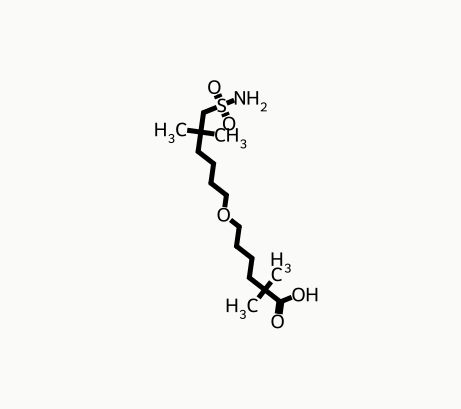 CC(C)(CCCCOCCCCC(C)(C)C(=O)O)CS(N)(=O)=O